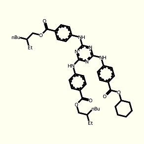 CCCCC(CC)COC(=O)c1ccc(Nc2nc(Nc3ccc(C(=O)OCC(CC)CCCC)cc3)nc(Nc3ccc(C(=O)OC4CCCCC4)cc3)n2)cc1